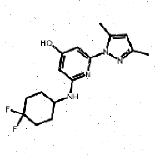 Cc1cc(C)n(-c2cc(O)cc(NC3CCC(F)(F)CC3)n2)n1